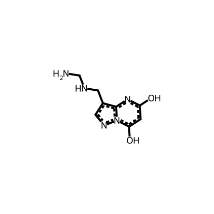 NCNCc1cnn2c(O)cc(O)nc12